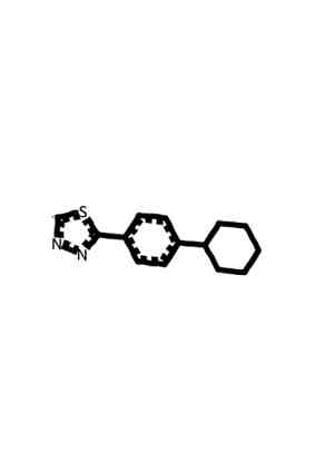 [c]1nnc(-c2ccc(C3CCCCC3)cc2)s1